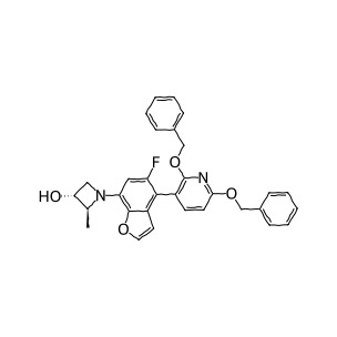 C[C@H]1[C@H](O)CN1c1cc(F)c(-c2ccc(OCc3ccccc3)nc2OCc2ccccc2)c2ccoc12